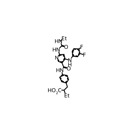 CCNC(=O)Nc1cc(Nc2ccc(F)c(F)c2)c(C(=O)Nc2ccc(CC(CC)C(=O)O)cc2)cn1